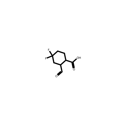 O=CC1CC(F)(F)CCC1C(=O)O